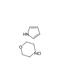 C1CCOCC1.Cl.c1cc[nH]c1